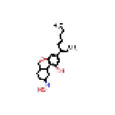 CCC/C=C/C(CC)c1cc(O)c2c(c1)OCC1CC/C(=N\O)CC21